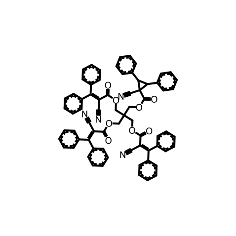 N#CC(C(=O)OCC(COC(=O)C(C#N)=C(c1ccccc1)c1ccccc1)(COC(=O)C(C#N)=C(c1ccccc1)c1ccccc1)COC(=O)C1(C#N)C(c2ccccc2)C1c1ccccc1)=C(c1ccccc1)c1ccccc1